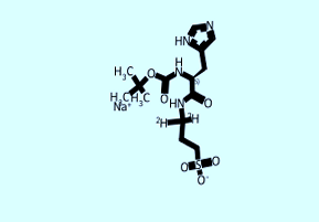 [2H]C([2H])(CCS(=O)(=O)[O-])NC(=O)[C@H](Cc1cnc[nH]1)NC(=O)OC(C)(C)C.[Na+]